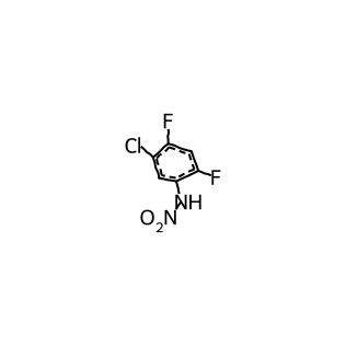 O=[N+]([O-])Nc1cc(Cl)c(F)cc1F